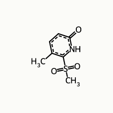 Cc1ccc(=O)[nH]c1S(C)(=O)=O